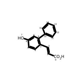 O=C(O)C=Cc1ccc(O)cc1-c1ccccc1